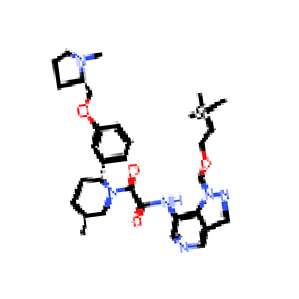 C[C@H]1CC[C@H](c2cccc(OC[C@H]3CCCN3C)c2)N(C(=O)C(=O)Nc2cncc3cnn(COCC[Si](C)(C)C)c23)C1